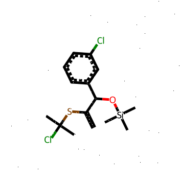 C=C(SC(C)(C)Cl)C(O[Si](C)(C)C)c1cccc(Cl)c1